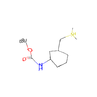 C[SH](C)CC1CCCC(NC(=O)OC(C)(C)C)C1